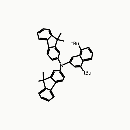 CC(C)(C)c1cc(N(c2ccc3c(c2)C(C)(C)c2ccccc2-3)c2ccc3c(c2)C(C)(C)c2ccccc2-3)cc2c(C(C)(C)C)cccc12